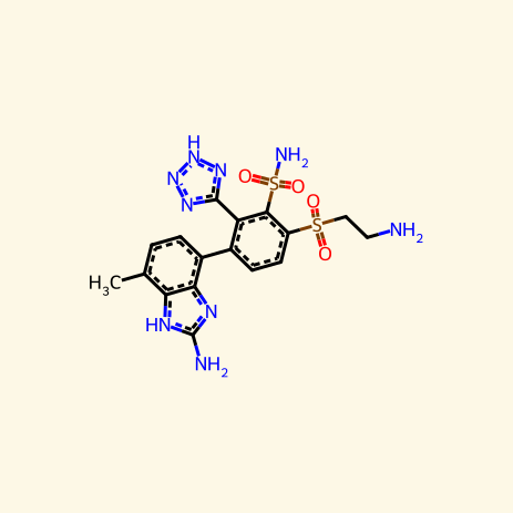 Cc1ccc(-c2ccc(S(=O)(=O)CCN)c(S(N)(=O)=O)c2-c2nn[nH]n2)c2nc(N)[nH]c12